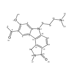 COc1cc2c(cc1C(C)=O)c1c3c(ccc1n2CCCN(C)C)C(=O)N(C)C3